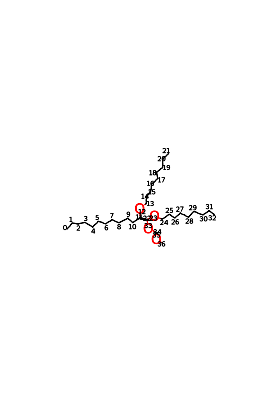 CCCCCCCCCCCC(OCCCCCCCCC)=C(OCCCCCCCCC)OCOC